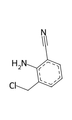 N#Cc1cccc(CCl)c1N